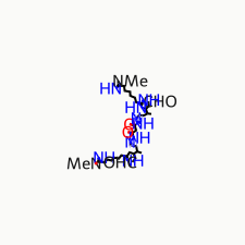 CNC(=N)CCCCCCC(=N)CC(CC=O)C(C)C/C=N\NC(=O)CC(=O)N/N=C\CC(C)C(CC=O)NC(=N)CCCCCCC(=N)NC